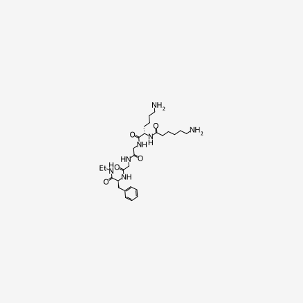 CCNC(=O)[C@H](Cc1ccccc1)NC(=O)CNC(=O)CNC(=O)[C@H](CCCCN)NC(=O)CCCCCN